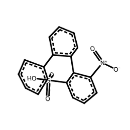 O=[N+]([O-])c1cccc(S(=O)(=O)O)c1-c1ccccc1-c1ccccc1